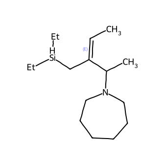 C/C=C(/C[SiH](CC)CC)C(C)N1CCCCCC1